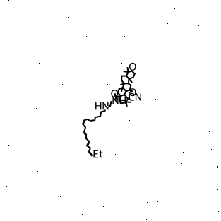 CC/C=C\CC=CCC=CC/C=C\C/C=C\CCCCNCCNC(=O)C12CCC(C)(C)C(C#N)C1C1C(=O)CC3C4(C)CCC(=O)C(C)(C)C4CCC3(C)C1(C)CC2